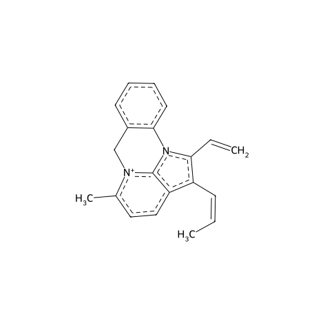 C=Cc1c(/C=C\C)c2ccc(C)[n+]3c2n1-c1ccccc1C3